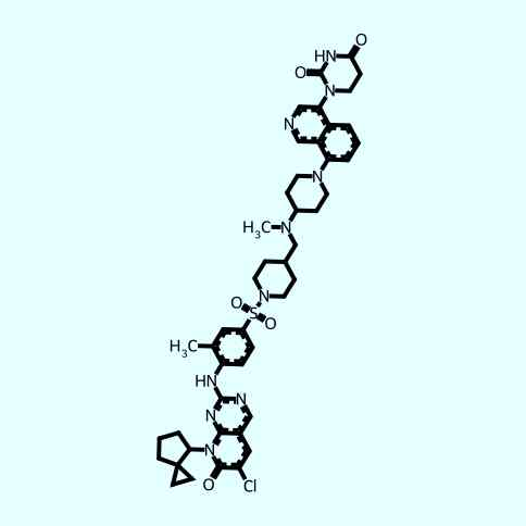 Cc1cc(S(=O)(=O)N2CCC(CN(C)C3CCN(c4cccc5c(N6CCC(=O)NC6=O)cncc45)CC3)CC2)ccc1Nc1ncc2cc(Cl)c(=O)n(C3CCCC34CC4)c2n1